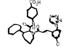 O=C(O)C1CCC(NC(=O)C2C(C3CCCCC3)CCCN2C(=O)/C=C/c2cc(Cl)ccc2-n2cnnn2)CC1